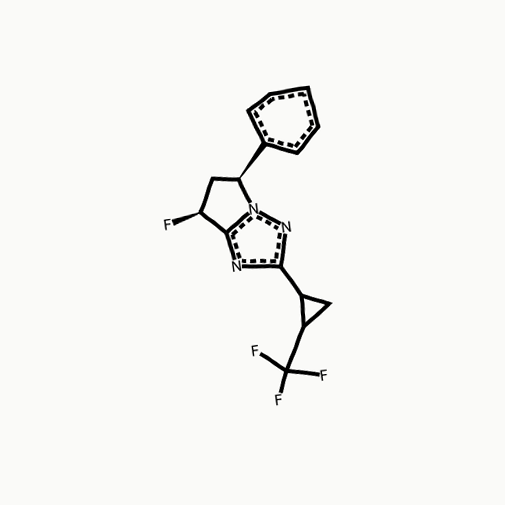 F[C@H]1C[C@@H](c2ccccc2)n2nc(C3CC3C(F)(F)F)nc21